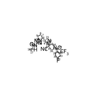 N#CCC1(n2cc(-c3cccc4nc(NC(=O)C5CC5)nn34)cn2)CCN(C(=O)c2ccc(F)cc2C(F)(F)F)CC1